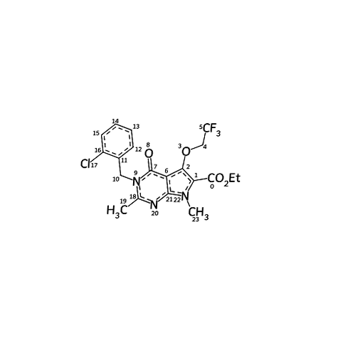 CCOC(=O)c1c(OCC(F)(F)F)c2c(=O)n(Cc3ccccc3Cl)c(C)nc2n1C